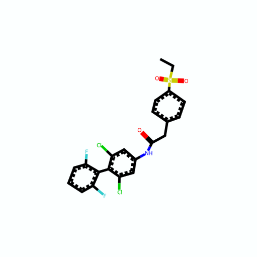 CCS(=O)(=O)c1ccc(CC(=O)Nc2cc(Cl)c(-c3c(F)cccc3F)c(Cl)c2)cc1